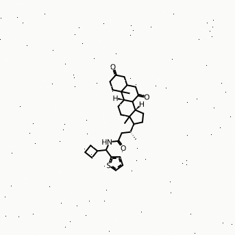 C[C@H](CC(=O)NC(c1cccs1)C1CCC1)C1CC[C@H]2C3C(=O)CC4CC(=O)CCC4(C)[C@H]3CCC12C